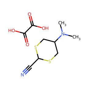 CN(C)C1CSC(C#N)SC1.O=C(O)C(=O)O